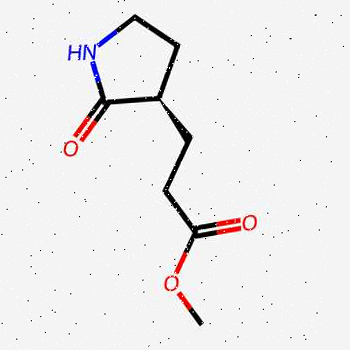 COC(=O)CC[C@@H]1CCNC1=O